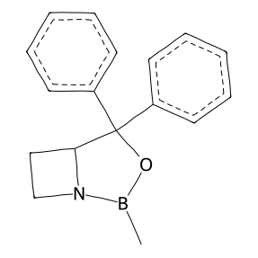 CB1OC(c2ccccc2)(c2ccccc2)C2CCN12